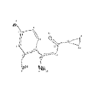 CSc1cc(Br)ccc1/C(N)=C\C(=O)C1CC1